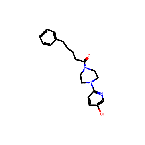 O=C(CCCCc1ccccc1)N1CCN(c2ccc(O)cn2)CC1